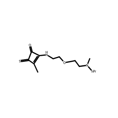 CCCN(C)CCOCCNc1c(C)c(=S)c1=O